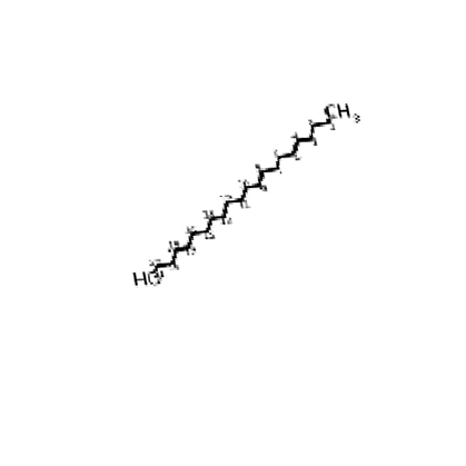 CCCCCCCCCCCCCCCCCC[CH]CCO